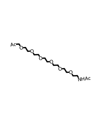 CC(=O)COCCOCCOCCOCCOCCOCCNC(C)=O